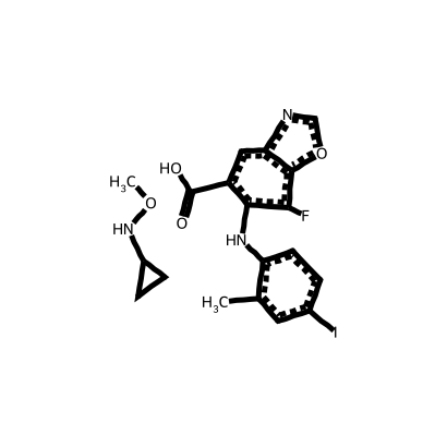 CONC1CC1.Cc1cc(I)ccc1Nc1c(C(=O)O)cc2ncoc2c1F